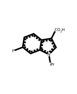 CC(C)n1cc(C(=O)O)c2ccc(F)cc21